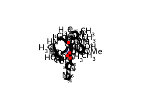 CC[C@H]1OC(=O)[C@H](C)[C@@H](O[C@H]2C[C@@](C)(OC)[C@@H](O)[C@H](C)O2)[C@H](C)[C@@H](O[C@@H]2O[C@H](C)C[C@H](N(C)C)[C@H]2O)[C@@]2(C)C[C@@H](C)NC[C@H](C)[C@@H](OC/C(=N\OCc3ccc(-n4cccn4)nc3)CO2)[C@]1(C)O